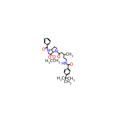 COC1(OC)CN(C(=O)c2ccccc2)C2CCN(C(=O)CC(C)CCNC(=O)c3ccc(C(C)(C)C)cc3)C21